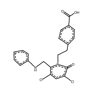 O=C(O)c1ccc(CCn2c(CNc3ccccc3)c(Cl)cc(Cl)c2=O)cc1